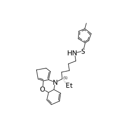 CC[C@@H](CCCCNSc1ccc(C)cc1)N1C2=CCCC=C2OC2C=CC=CC21